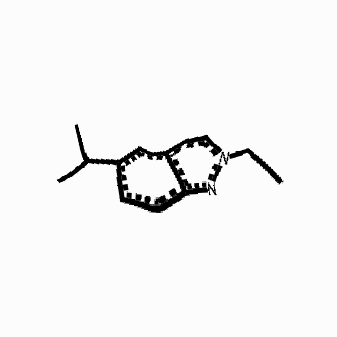 CCn1cc2cc(C(C)C)ccc2n1